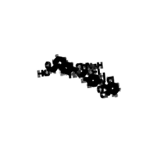 O=C(O)C=C1CCCc2cc(C(=O)N[C@@H](Cc3ccc(NC(=O)c4c(Cl)cccc4Cl)cc3)C(=O)O)ccc21.[NaH]